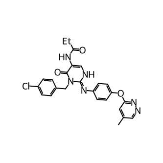 CCC(=O)Nc1c[nH]/c(=N\c2ccc(Oc3cc(C)cnn3)cc2)n(Cc2ccc(Cl)cc2)c1=O